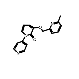 Cc1cccc(COc2cccn(-c3ccncc3)c2=O)n1